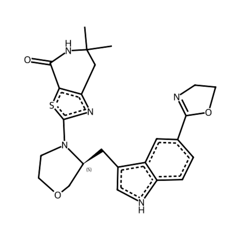 CC1(C)Cc2nc(N3CCOC[C@@H]3Cc3c[nH]c4ccc(C5=NCCO5)cc34)sc2C(=O)N1